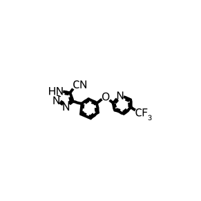 N#Cc1[nH]nnc1-c1cccc(Oc2ccc(C(F)(F)F)cn2)c1